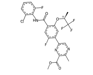 COC(=O)c1nc(-c2cc(O[C@@H](C)C(F)(F)F)c(C(=O)Nc3c(F)cccc3Cl)cc2F)cnc1C